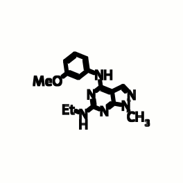 CCNc1nc(Nc2cccc(OC)c2)c2cnn(C)c2n1